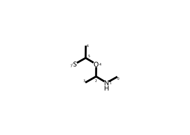 CNC(C)OC(C)[S]